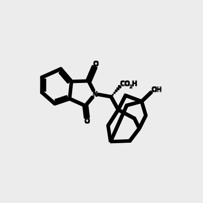 O=C(O)[C@@H](N1C(=O)c2ccccc2C1=O)C12CC3CC(CC(O)(C3)C1)C2